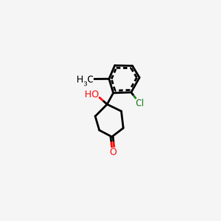 Cc1cccc(Cl)c1C1(O)CCC(=O)CC1